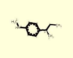 CC[C@@H](C)c1ccc(NC)cc1